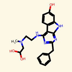 CN(CCNc1nc(Cc2ccccc2)nc2[nH]c3cc(O)ccc3c12)CC(O)O